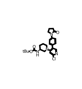 CC(C)(C)OC(=O)N[C@H]1CCCN(c2cc(Cl)ncc2-c2ccc(N3CCCC3=O)cc2)C1